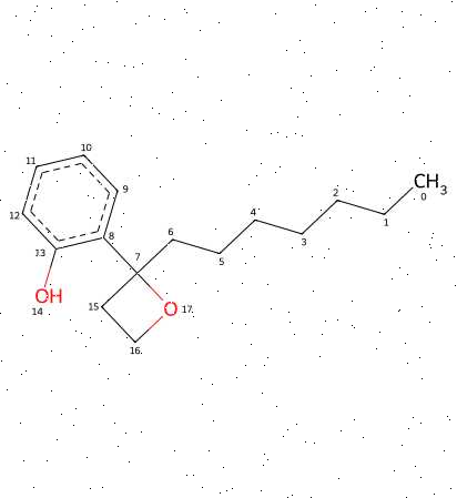 CCCCCCCC1(c2ccccc2O)CCO1